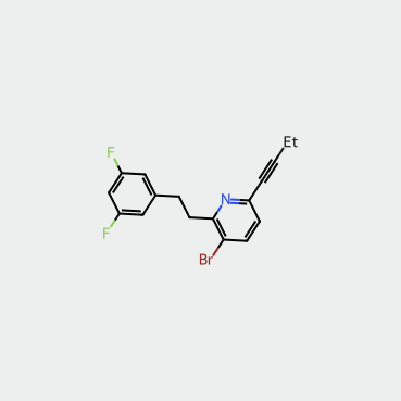 CCC#Cc1ccc(Br)c(CCc2cc(F)cc(F)c2)n1